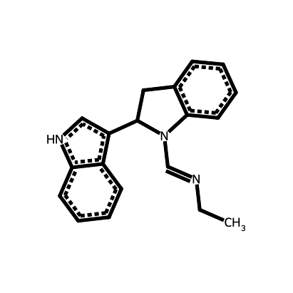 CC/N=C/N1c2ccccc2CC1c1c[nH]c2ccccc12